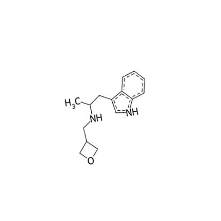 CC(Cc1c[nH]c2ccccc12)NCC1COC1